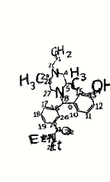 C=CCN1C[C@@H](C)N([C@@H](c2cccc(O)c2)c2cccc(C(=O)N(CC)CC)c2)C[C@@H]1C